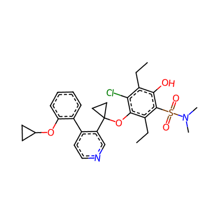 CCc1c(O)c(S(=O)(=O)N(C)C)c(CC)c(OC2(c3cnccc3-c3ccccc3OC3CC3)CC2)c1Cl